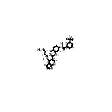 Cc1ccc(NC(=O)c2cccc(C(F)(F)F)c2)cc1NC(=O)c1cnc2[nH]ccc2c1NCCCN